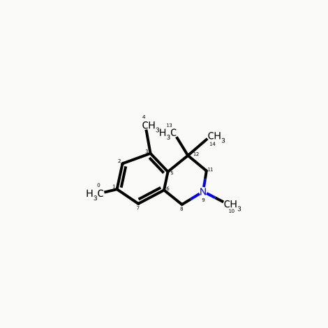 Cc1cc(C)c2c(c1)CN(C)CC2(C)C